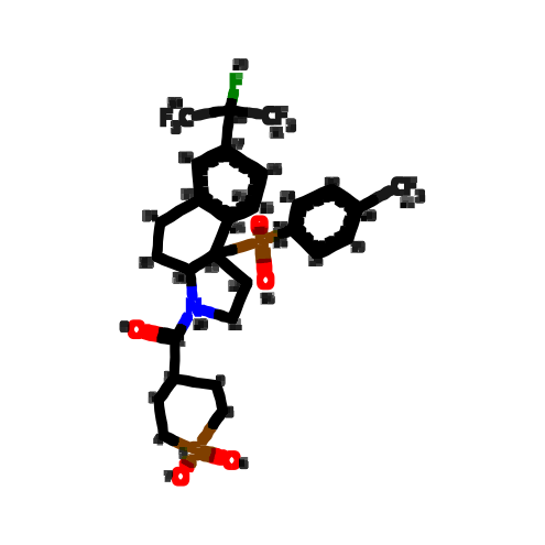 O=C(C1CCS(=O)(=O)CC1)N1CCC2(S(=O)(=O)c3ccc(C(F)(F)F)cc3)c3ccc(C(F)(C(F)(F)F)C(F)(F)F)cc3CCC12